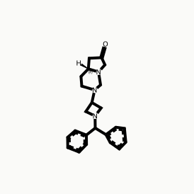 O=C1C[C@H]2CCN(C3CN(C(c4ccccc4)c4ccccc4)C3)CN2C1